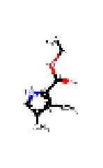 CCOC(=O)c1[nH][c]c(C)c1C